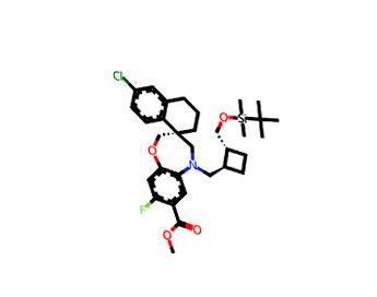 COC(=O)c1cc2c(cc1F)OC[C@]1(CCCc3cc(Cl)ccc31)CN2C[C@@H]1CC[C@H]1CO[Si](C)(C)C(C)(C)C